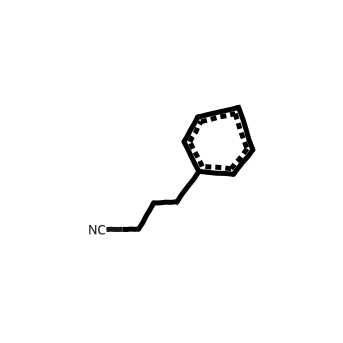 N#CCC[CH]c1ccccc1